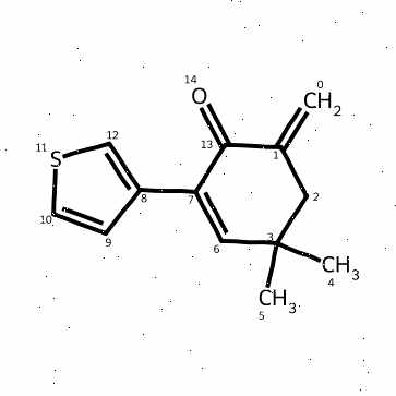 C=C1CC(C)(C)C=C(c2ccsc2)C1=O